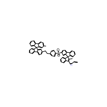 C=C/C=C\C1=C(C)C2(c3ccccc31)c1ccccc1-c1ccc(S(=O)(=O)c3ccc(CCc4ccc5c(c4)C4(c6ccccc6-c6ccc(C)cc64)c4ccccc4-5)cc3)cc12